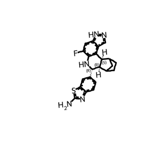 Nc1nc2ccc([C@@H]3Nc4c(F)cc5[nH]ncc5c4[C@H]4C5CCC(C5)[C@@H]34)cc2s1